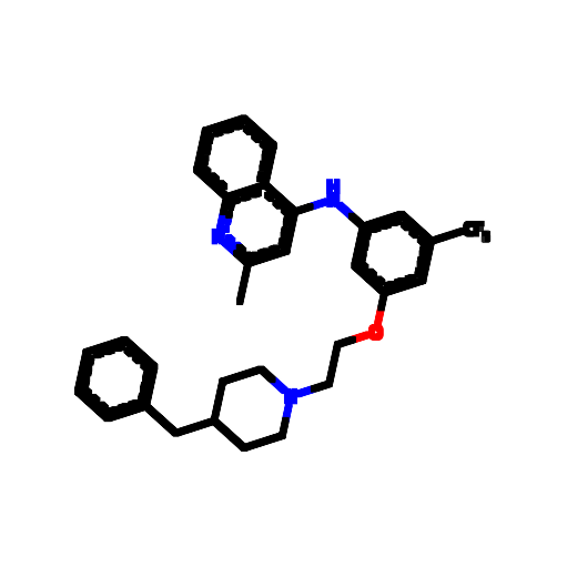 Cc1cc(Nc2cc(OCCN3CCC(Cc4ccccc4)CC3)cc(C(F)(F)F)c2)c2ccccc2n1